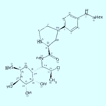 CCCCCCNc1ccc([C@@H]2CCN[C@H](C(=O)NC([C@H](C)Cl)[C@H]3O[C@H](SC)[C@H](O)[C@@H](O)[C@H]3O)C2)cc1